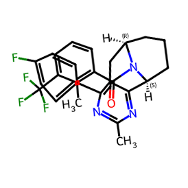 Cc1nc(-c2ccc(F)cc2)c2c(n1)[C@@H]1CCC[C@H](C2)N1C(=O)c1cccc(C(F)(F)F)c1C